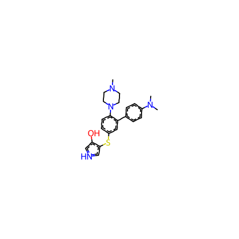 CN1CCN(c2ccc(Sc3c[nH]cc3O)cc2-c2ccc(N(C)C)cc2)CC1